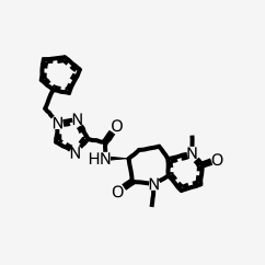 CN1C(=O)[C@@H](NC(=O)c2ncn(Cc3ccccc3)n2)CCc2c1ccc(=O)n2C